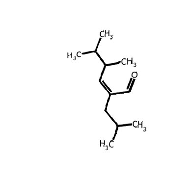 CC(C)CC(C=O)=CC(C)C(C)C